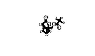 CC(C)(C)C(=O)OCC12CC3CC(C(=O)O1)C2C3